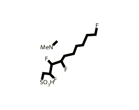 CNC.O=S(=O)(O)CC(F)C(F)C(F)CCCCCCF